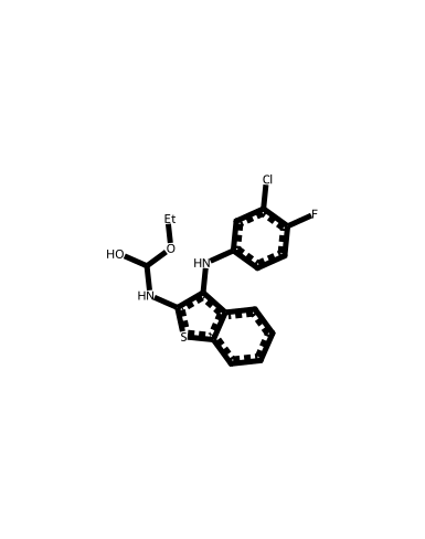 CCOC(O)Nc1sc2ccccc2c1Nc1ccc(F)c(Cl)c1